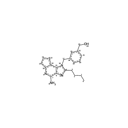 CCCCc1nc2c(N)nc3ccsc3c2n1Cc1cccc(CO)c1